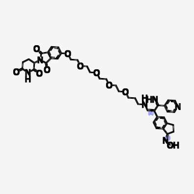 N=C(/C(=C\NCCCOCCOCCOCCOCCOc1ccc2c(c1)C(=O)N(C1CCC(=O)NC1=O)C2=O)c1ccc2c(c1)CC/C2=N\O)c1ccncc1